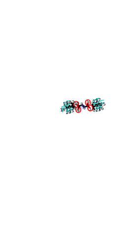 CC(C)(OC(=O)/C=C/C(=O)OC(C)(C)C(F)(F)C(F)(F)F)C(F)(F)C(F)(F)F